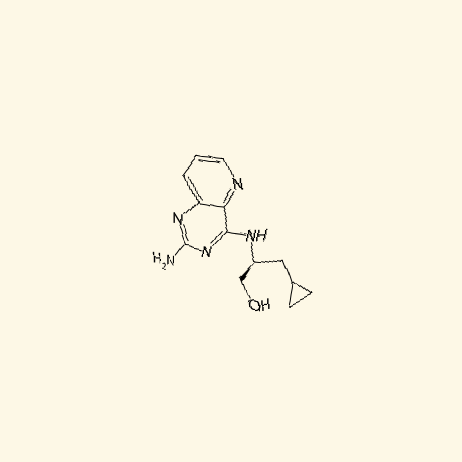 Nc1nc(N[C@H](CO)CC2CC2)c2ncccc2n1